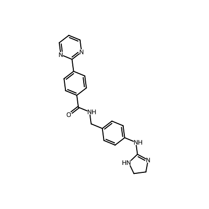 O=C(NCc1ccc(NC2=NCCN2)cc1)c1ccc(-c2ncccn2)cc1